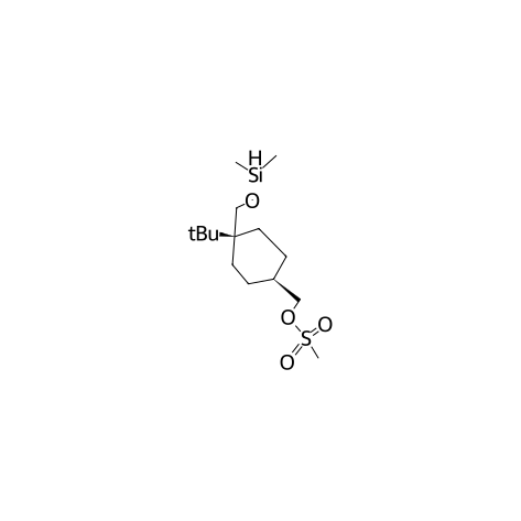 C[SiH](C)OC[C@]1(C(C)(C)C)CC[C@@H](COS(C)(=O)=O)CC1